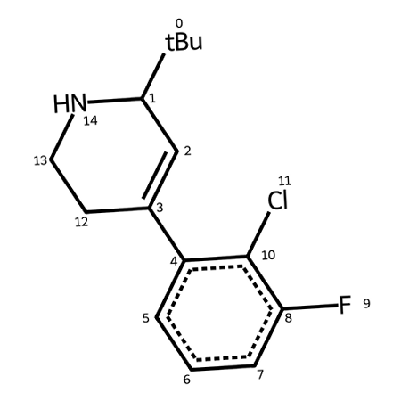 CC(C)(C)C1C=C(c2cccc(F)c2Cl)CCN1